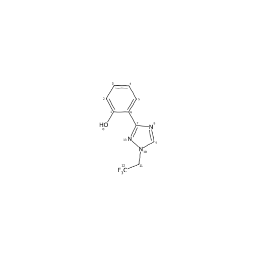 Oc1ccccc1-c1ncn(CC(F)(F)F)n1